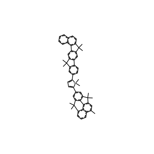 Cc1cc2c3c4c(cccc14)C(C)(C)c1cc(C4=CC=C(c5ccc6c(c5)C(C)(C)c5cc7c(cc5-6)C(C)(C)c5ccc6ccccc6c5-7)[Si]4(C)C)cc(c1-3)C2(C)C